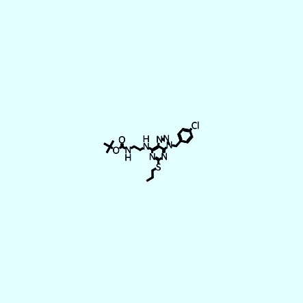 CCCSc1nc(NCCNC(=O)OC(C)(C)C)c2nnn(Cc3ccc(Cl)cc3)c2n1